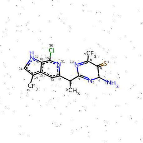 CC(C1=NC(N)C(=S)C(C(F)(F)F)=N1)c1cc2c(C(F)(F)F)c[nH]c2c(Cl)n1